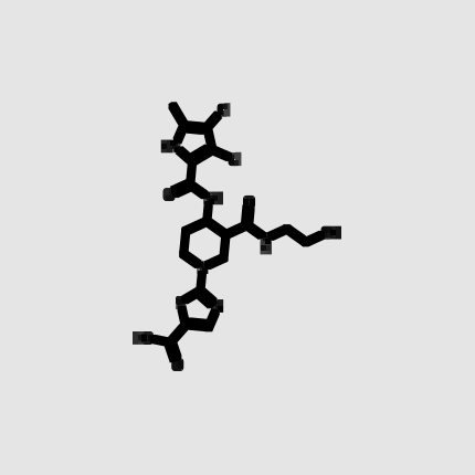 Cc1[nH]c(C(=O)NC2CCN(c3ncc(C(=O)O)s3)CC2C(=O)NCCO)c(Cl)c1Cl